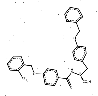 O=C(N[C@@H](Cc1ccc(OCc2ccccc2)cc1)C(=O)O)c1ccc(OCc2ccccc2C(F)(F)F)cc1